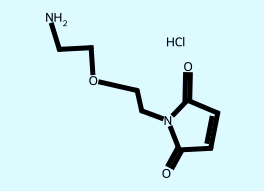 Cl.NCCOCCN1C(=O)C=CC1=O